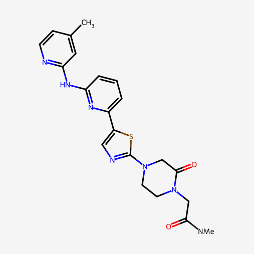 CNC(=O)CN1CCN(c2ncc(-c3cccc(Nc4cc(C)ccn4)n3)s2)CC1=O